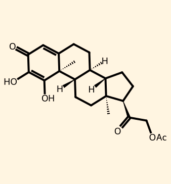 CC(=O)OCC(=O)[C@@H]1CC[C@H]2[C@@H]3CCC4=CC(=O)C(O)=C(O)[C@]4(C)[C@H]3CC[C@]12C